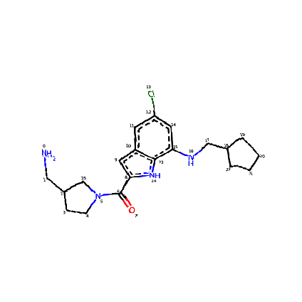 NCC1CCN(C(=O)c2cc3cc(Cl)cc(NCC4CCCC4)c3[nH]2)C1